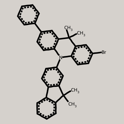 CC1(C)c2ccccc2-c2ccc(N3c4ccc(Br)cc4C(C)(C)c4cc(-c5ccccc5)ccc43)cc21